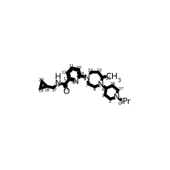 CC(C)N1CCC(N2CCN(c3cccc(C(=O)NCC4CC4)n3)CCC2C)CC1